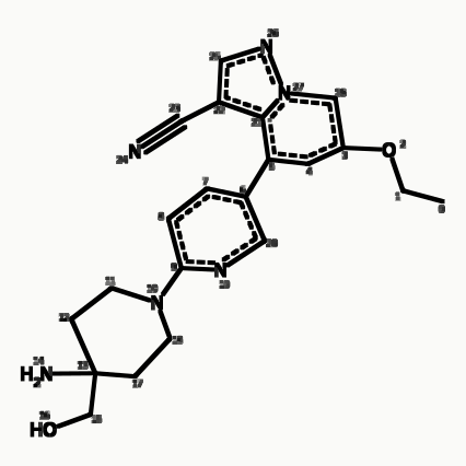 CCOc1cc(-c2ccc(N3CCC(N)(CO)CC3)nc2)c2c(C#N)cnn2c1